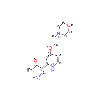 CC(C)C(=O)/C(C=N)=C1\C=C(OCCN2CCOCC2)C=CN1